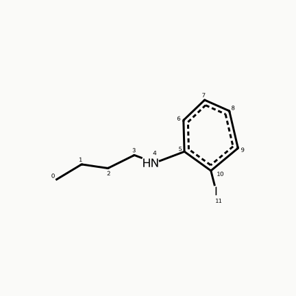 CCCCNc1ccccc1I